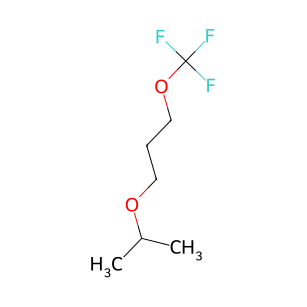 CC(C)OCCCOC(F)(F)F